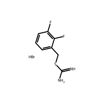 Br.N=C(N)SCc1cccc(F)c1F